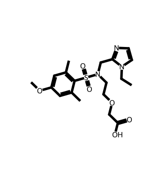 CCn1ccnc1CN(CCOCC(=O)O)S(=O)(=O)c1c(C)cc(OC)cc1C